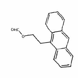 O=COCCc1c2ccccc2cc2ccccc12